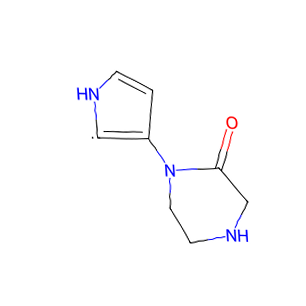 O=C1CNCCN1c1[c][nH]cc1